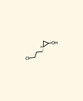 OC1C[C@H]1CCCCl